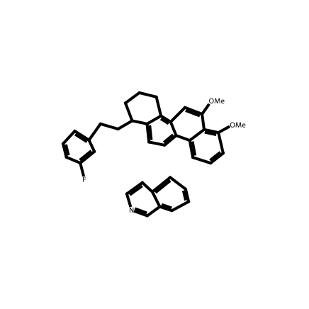 COc1cccc2c1c(OC)cc1c3c(ccc12)C(CCc1cccc(F)c1)CCC3.c1ccc2cnccc2c1